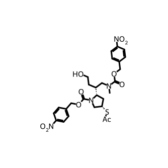 CC(=O)S[C@H]1C[C@@H](C(CCO)CN(C)C(=O)OCc2ccc([N+](=O)[O-])cc2)N(C(=O)OCc2ccc([N+](=O)[O-])cc2)C1